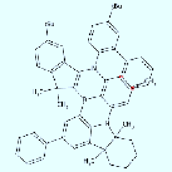 Cc1cc2c3c(c1)N1c4c(cc(-c5ccccc5)cc4C4(C)CCCCC14C)B3C1=C(c3cc(C(C)(C)C)ccc3C1(C)C)N2c1ccc(C(C)(C)C)cc1-c1ccccc1